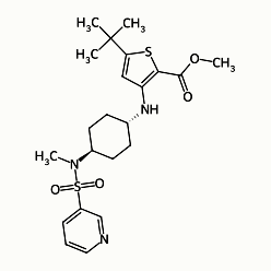 COC(=O)c1sc(C(C)(C)C)cc1N[C@H]1CC[C@H](N(C)S(=O)(=O)c2cccnc2)CC1